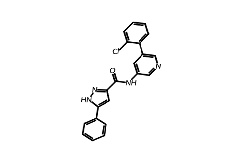 O=C(Nc1cncc(-c2ccccc2Cl)c1)c1cc(-c2ccccc2)[nH]n1